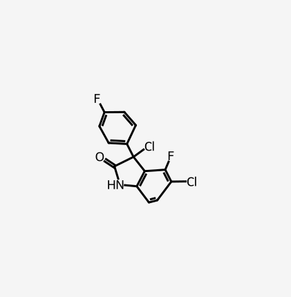 O=C1Nc2ccc(Cl)c(F)c2C1(Cl)c1ccc(F)cc1